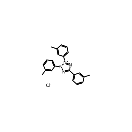 Cc1cccc(-c2nn(-c3cccc(C)c3)[n+](-c3cccc(C)c3)n2)c1.[Cl-]